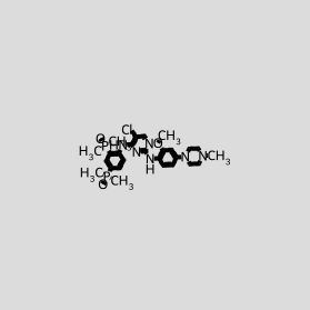 COc1cc(N2CCN(C)CC2)ccc1Nc1ncc(Cl)c(Nc2ccc(P(C)(C)=O)cc2P(C)(C)=O)n1